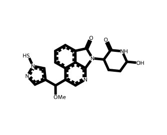 COC(c1cnn(S)c1)c1cnc2c3c(cccc13)C(=O)N2C1CCC(O)NC1=O